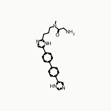 CN(CCCc1ncc(-c2ccc(-c3ccc(-c4cnc[nH]4)cc3)cc2)[nH]1)C(=O)CN